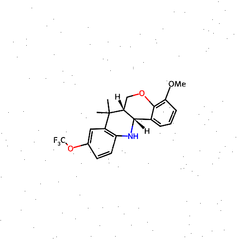 COc1cccc2c1OC[C@@H]1[C@H]2Nc2ccc(OC(F)(F)F)cc2C1(C)C